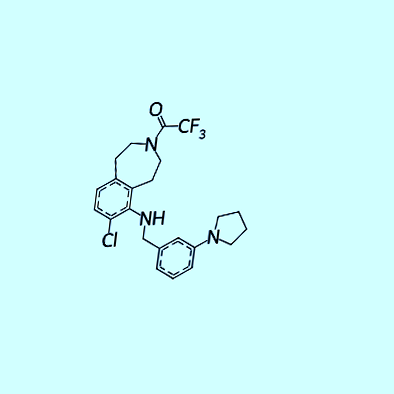 O=C(N1CCc2ccc(Cl)c(NCc3cccc(N4CCCC4)c3)c2CC1)C(F)(F)F